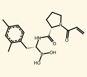 C=CC(=O)N1CCC[C@H]1C(=O)N[C@@H](Cc1ccc(C)cc1C)B(O)O